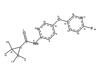 CC1(C)C(C(=O)Nc2ccc(Oc3ccc(F)nc3)cn2)C1(C)C